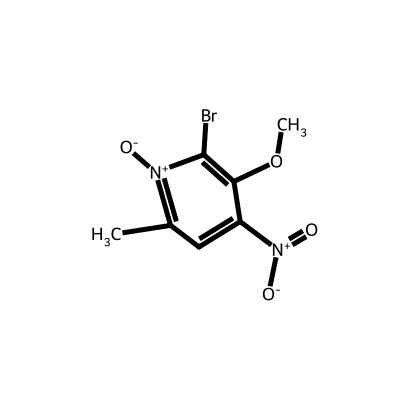 COc1c([N+](=O)[O-])cc(C)[n+]([O-])c1Br